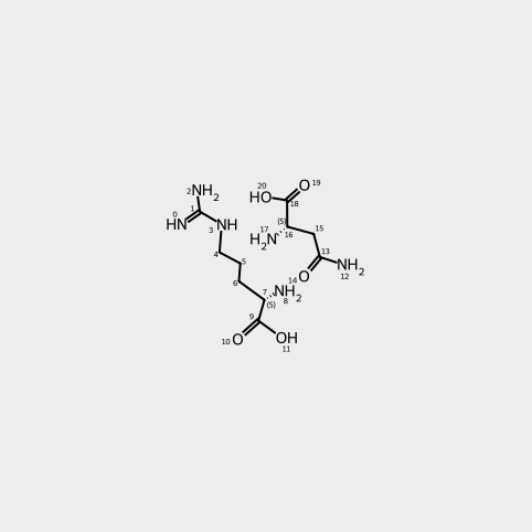 N=C(N)NCCC[C@H](N)C(=O)O.NC(=O)C[C@H](N)C(=O)O